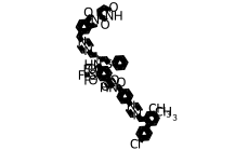 CC1(C)CCC(c2ccc(Cl)cc2)=C(CN2CCN(c3ccc(C(=O)NS(=O)(=O)c4ccc(N[C@H](CCN5CCN(Cc6ccc7c(c6)CN(C6CCC(=O)NC6=O)C7=O)CC5)CSc5ccccc5)c(S(=O)(=O)C(F)(F)F)c4)cc3)CC2)C1